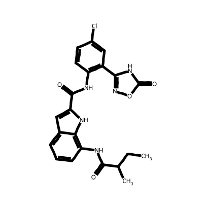 CCC(C)C(=O)Nc1cccc2cc(C(=O)Nc3ccc(Cl)cc3-c3noc(=O)[nH]3)[nH]c12